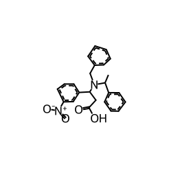 CC(c1ccccc1)N(Cc1ccccc1)C(CC(=O)O)c1cccc([N+](=O)[O-])c1